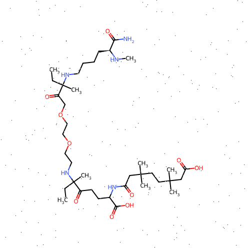 CCC(C)(NCCOCCOCC(=O)C(C)(CC)NCCCC[C@H](NC)C(N)=O)C(=O)CCC(NC(=O)CC(C)(C)CCC(C)(C)CC(=O)O)C(=O)O